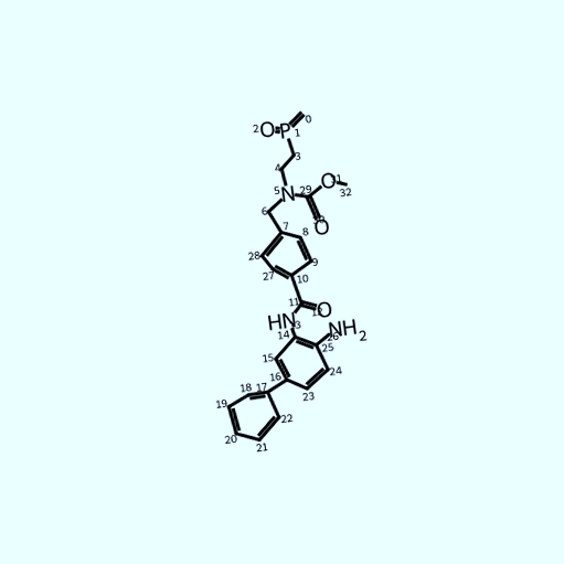 C=P(=O)CCN(Cc1ccc(C(=O)Nc2cc(-c3ccccc3)ccc2N)cc1)C(=O)OC